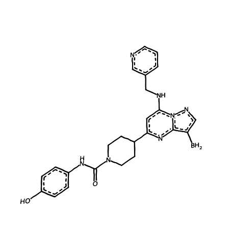 Bc1cnn2c(NCc3cccnc3)cc(C3CCN(C(=O)Nc4ccc(O)cc4)CC3)nc12